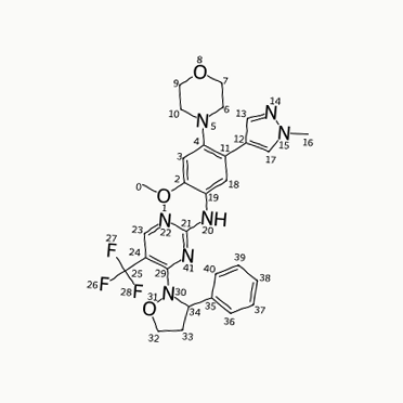 COc1cc(N2CCOCC2)c(-c2cnn(C)c2)cc1Nc1ncc(C(F)(F)F)c(N2OCCC2c2ccccc2)n1